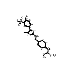 Cc1nc(NCC2CCC(N[C@H](CC(C)C)C(=O)O)CC2)sc1-c1ccc(Cl)c(S(C)(=O)=O)c1